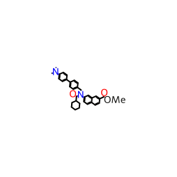 COC(=O)c1ccc2ccc(N(Cc3ccc(-c4ccc(N(C)C)cc4)cc3)C(=O)C3CCCCC3)cc2c1